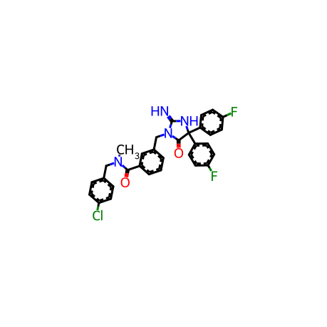 CN(Cc1ccc(Cl)cc1)C(=O)c1cccc(CN2C(=N)NC(c3ccc(F)cc3)(c3ccc(F)cc3)C2=O)c1